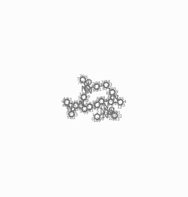 c1ccc(-c2nc(-n3c4cc5c6ccccc6n6c7ccc(-c8cccc(-c9ccc(-c%10nc(-c%11ccc(-n%12c%13cc%14c%15ccccc%15n%15c%16ccccc%16c(c%13c%13ccc%16ccccc%16c%13%12)c%14%15)cc%11)nc%11c%10oc%10ccccc%10%11)cc9)c8)cc7c(c4c4ccc7ccccc7c43)c56)c3oc4ccccc4c3n2)cc1